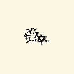 CCCC[SiH2]O[Si](C)(C)O[Si](C)(C)O[Si](C)(C)O[Si](C)(C)CCc1ccc(O)c(F)c1